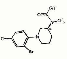 CN(C(=O)O)[C@H]1CCCN(c2ccc(Cl)cc2Br)C1